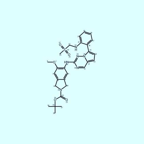 COc1cc2c(cc1Nc1ncc3ccc(-c4ccccc4NCS(C)(=O)=O)n3n1)CN(C(=O)OC(C)(C)C)C2